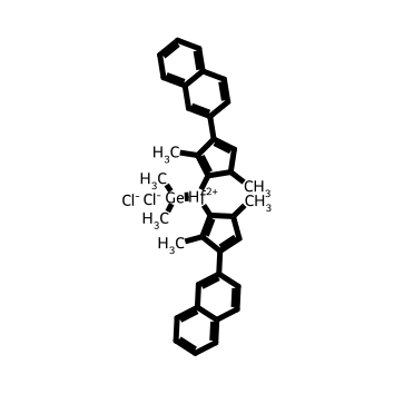 CC1=[C]([Hf+2]([C]2=C(C)C(c3ccc4ccccc4c3)=CC2C)=[Ge]([CH3])[CH3])C(C)C=C1c1ccc2ccccc2c1.[Cl-].[Cl-]